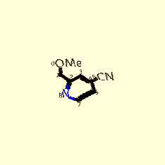 COCc1cc(C#N)ccn1